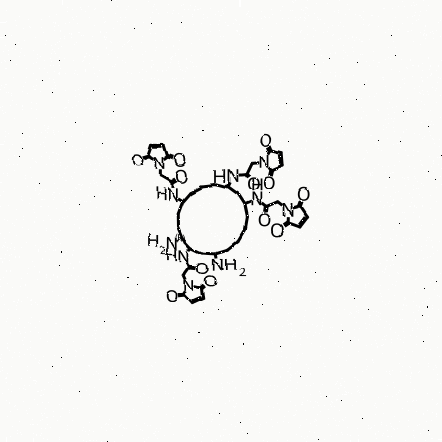 NC1CCCCC(NC(=O)CN2C(=O)C=CC2=O)CC(NC(=O)CN2C(=O)C=CC2=O)CCCC(NC(=O)CN2C(=O)C=CC2=O)CC[C@@H](N)C(NC(=O)CN2C(=O)C=CC2=O)C1